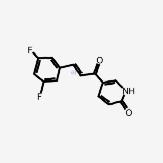 O=C(/C=C/c1cc(F)cc(F)c1)c1ccc(=O)[nH]c1